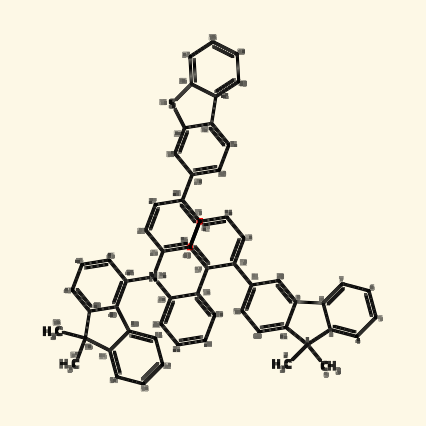 CC1(C)c2ccccc2-c2cc(-c3ccccc3-c3ccccc3N(c3ccc(-c4ccc5c(c4)sc4ccccc45)cc3)c3cccc4c3-c3ccccc3C4(C)C)ccc21